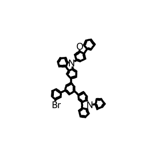 Brc1cccc(-c2cc(-c3ccc4c(c3)c3ccccc3n4-c3ccccc3)cc(-c3ccc4c(c3)c3ccccc3n4-c3ccc4c(c3)oc3ccccc34)c2)c1